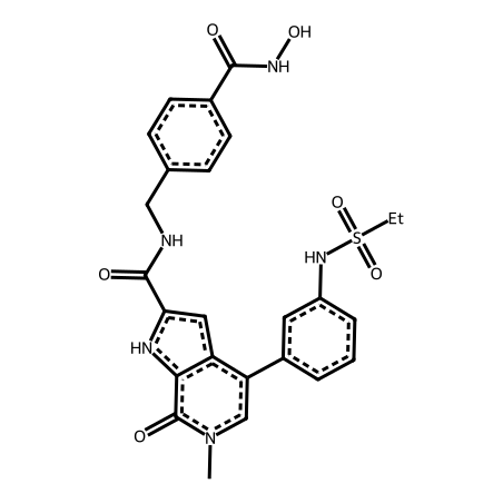 CCS(=O)(=O)Nc1cccc(-c2cn(C)c(=O)c3[nH]c(C(=O)NCc4ccc(C(=O)NO)cc4)cc23)c1